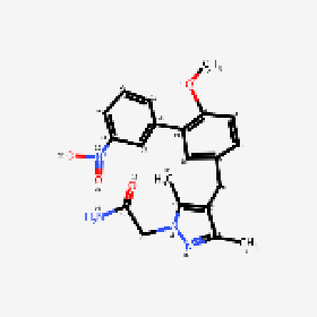 COc1ccc(Cc2c(C)nn(CC(N)=O)c2C)cc1-c1cccc([N+](=O)[O-])c1